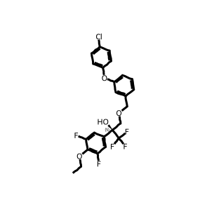 CCOc1c(F)cc([C@](O)(COCc2cccc(Oc3ccc(Cl)cc3)c2)C(F)(F)F)cc1F